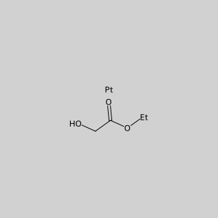 CCOC(=O)CO.[Pt]